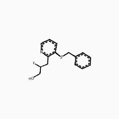 OCC(F)Cc1ncccc1SCc1ccccc1